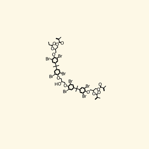 C=C(C)C(=O)OCC(COc1c(Br)cc(C(C)(C)c2cc(Br)c(OCC(O)COc3c(Br)cc(C(C)(C)c4cc(Br)c(OCC(COC(=O)C(=C)C)OC(=O)C(=C)C)c(Br)c4)cc3Br)c(Br)c2)cc1Br)OC(=O)CC